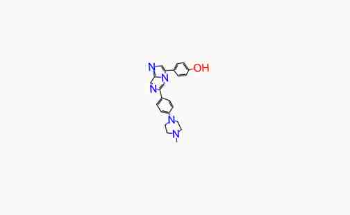 CN1CCN(c2ccc(-c3cn4c(-c5ccc(O)cc5)cnc4cn3)cc2)CC1